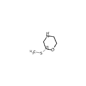 CS[C@@H]1CNCCO1